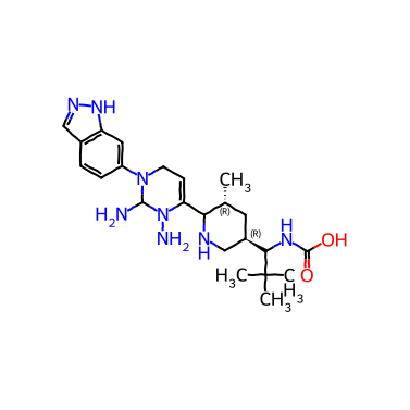 C[C@@H]1C[C@@H](C(NC(=O)O)C(C)(C)C)CNC1C1=CCN(c2ccc3cn[nH]c3c2)C(N)N1N